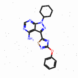 Nc1ncnc2c1c(-c1nc(Oc3ccccc3)ns1)nn2C1CCCCC1